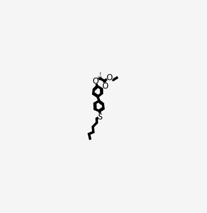 CCCCCCSc1ccc(-c2ccc(O[C@H](C)C(=O)OCC)cc2)cc1